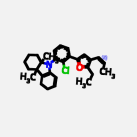 C/C=C\c1cc(-c2cccc(N3C4=C(CCC=C4)C4(C)CCCCC34C)c2Cl)oc1CC